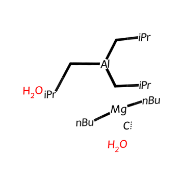 CC(C)[CH2][Al]([CH2]C(C)C)[CH2]C(C)C.CCC[CH2][Mg][CH2]CCC.O.O.[C]